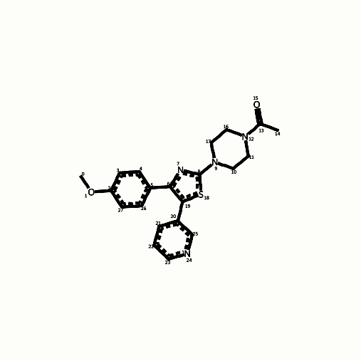 COc1ccc(-c2nc(N3CCN(C(C)=O)CC3)sc2-c2cccnc2)cc1